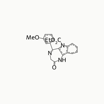 CCOC(=O)n1c2c(c3ccccc31)NC(=O)CN=C2c1cccc(OC)c1